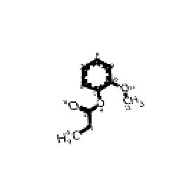 CCC(=O)Oc1ccc[c]c1OC